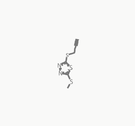 C#CCSc1nnc(SC)s1